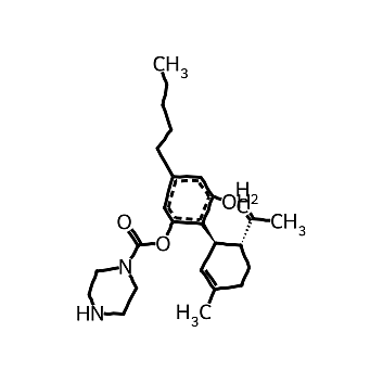 C=C(C)[C@@H]1CCC(C)=C[C@H]1c1c(O)cc(CCCCC)cc1OC(=O)N1CCNCC1